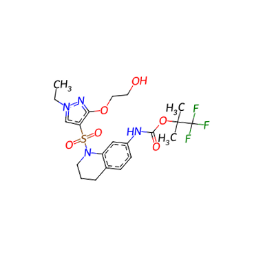 CCn1cc(S(=O)(=O)N2CCCc3ccc(NC(=O)OC(C)(C)C(F)(F)F)cc32)c(OCCO)n1